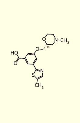 Cc1cnc(-c2cc(OC[C@H]3CN(C)CCO3)cc(C(=O)O)c2)s1